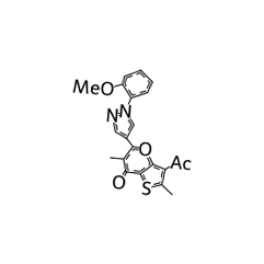 COc1ccccc1-n1cc(-c2oc3c(C(C)=O)c(C)sc3c(=O)c2C)cn1